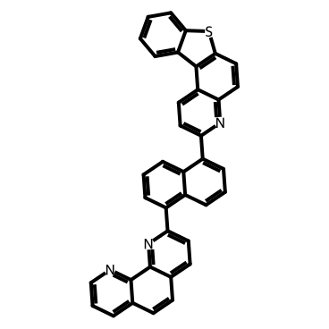 c1cnc2c(c1)ccc1ccc(-c3cccc4c(-c5ccc6c(ccc7sc8ccccc8c76)n5)cccc34)nc12